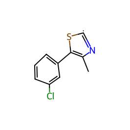 Cc1n[c]sc1-c1cccc(Cl)c1